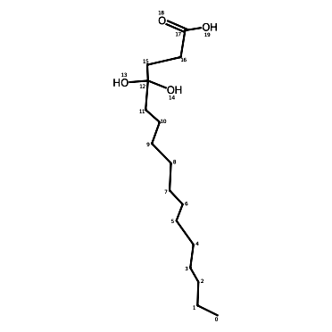 CCCCCCCCCCCCC(O)(O)CCC(=O)O